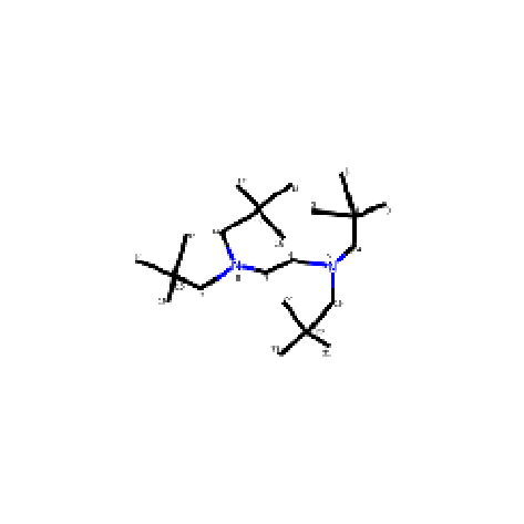 CC(C)(C)CN(CCN(CC(C)(C)C)CC(C)(C)C)CC(C)(C)C